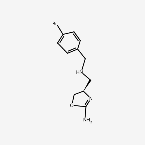 NC1=N[C@H](CNCc2ccc(Br)cc2)CO1